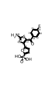 Nc1nc(-c2ccc(P(=O)(O)O)o2)c(C(=O)c2ccc(F)cc2)s1